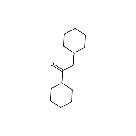 O=C(CN1CCCCC1)N1CCCCC1